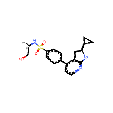 CC(C)[C@H](CO)NS(=O)(=O)c1ccc(-c2ccnc3c2CC(C2CC2)N3)cc1